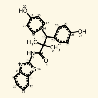 CC(C)(C(=O)Nc1nc2ccccc2s1)C(c1ccc(O)cc1)c1ccc(O)cc1